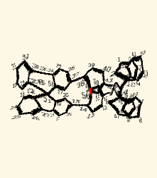 c1ccc(N(c2ccccc2)c2ccc(-c3ccc4c(c3)C3(c5ccccc5-4)c4ccccc4-c4ccc(-c5ccc(N(c6ccccc6)c6ccccc6)cc5)cc43)cc2)cc1